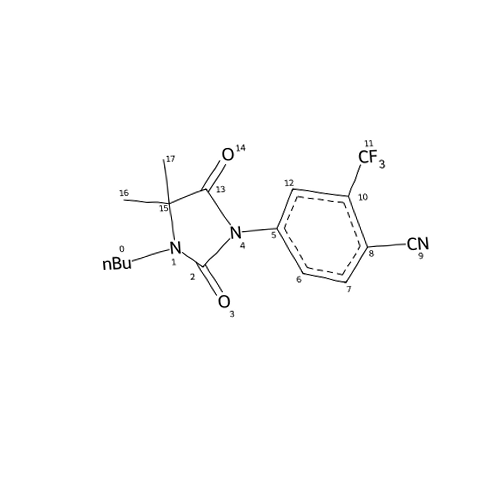 [CH2]CCCN1C(=O)N(c2ccc(C#N)c(C(F)(F)F)c2)C(=O)C1(C)C